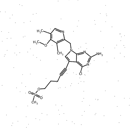 COc1c(C)cnc(Cn2cc(C#CCCCOS(C)(=O)=O)c3c(Cl)nc(N)nc32)c1C